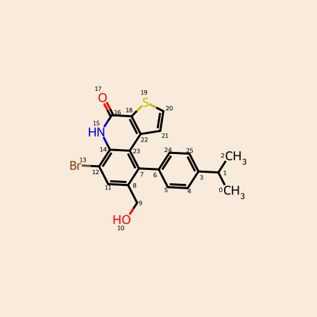 CC(C)c1ccc(-c2c(CO)cc(Br)c3[nH]c(=O)c4sccc4c23)cc1